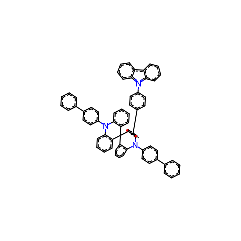 c1ccc(-c2ccc(N3c4ccccc4C4(c5ccccc53)c3ccccc3N(c3ccc(-c5ccccc5)cc3)c3ccc(-c5ccc(-n6c7ccccc7c7ccccc76)cc5)cc34)cc2)cc1